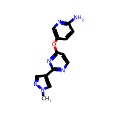 Cn1cc(-c2nccc(Oc3ccc(N)nc3)n2)cn1